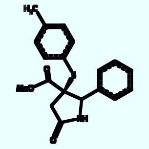 COC(=O)[C@@]1(Sc2ccc(C)cc2)CC(=O)NC1c1ccccc1